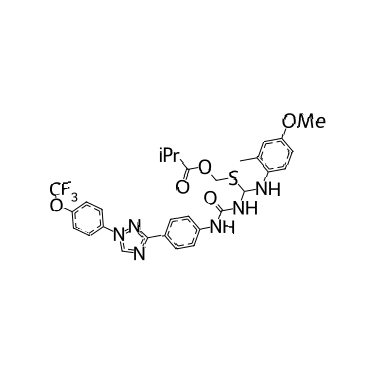 COc1ccc(NC(NC(=O)Nc2ccc(-c3ncn(-c4ccc(OC(F)(F)F)cc4)n3)cc2)SCOC(=O)C(C)C)c(C)c1